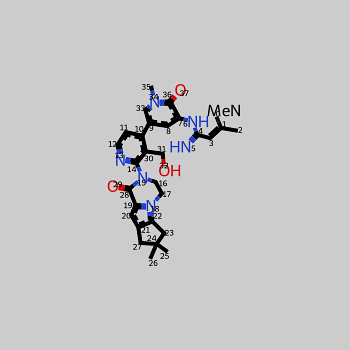 CN/C(C)=C\C(=N)Nc1cc(-c2ccnc(N3CCn4c(cc5c4CC(C)(C)C5)C3=O)c2CO)cn(C)c1=O